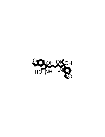 CCC(O)(c1ccc2occc2c1)C(NC)C(O)CCCC(O)(c1ccc2occc2c1)C(CO)NC